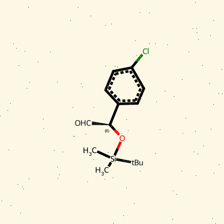 CC(C)(C)[Si](C)(C)O[C@@H](C=O)c1ccc(Cl)cc1